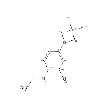 O=CCOc1ccc(N2CC(F)(F)C2)cc1Cl